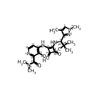 Cc1cn(C)nc1[C@H](Nc1c(Nc2ccnc(C(=O)N(C)C)c2O)c(=O)c1=O)C(C)(C)C